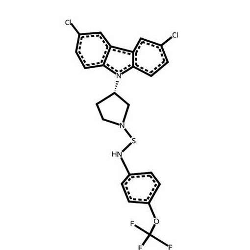 FC(F)(F)Oc1ccc(NSN2CC[C@H](n3c4ccc(Cl)cc4c4cc(Cl)ccc43)C2)cc1